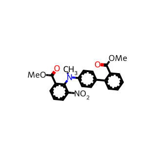 COC(=O)c1ccccc1-c1ccc(N(C)c2c(C(=O)OC)cccc2[N+](=O)[O-])cc1